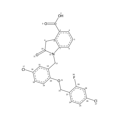 O=C(O)c1cccc2c1CC(=O)N2Cc1cc(Cl)ccc1OCc1ccc(Cl)cc1F